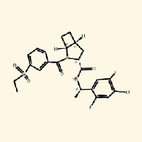 CCS(=O)(=O)c1cccc(C(=O)N2[C@@H](C(=O)N[C@H](C)c3cc(F)c(Cl)cc3F)C[C@H]3CC[C@H]32)c1